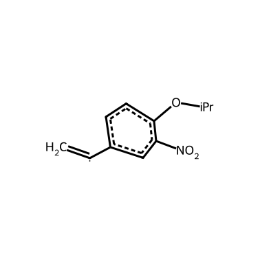 C=[C]c1ccc(OC(C)C)c([N+](=O)[O-])c1